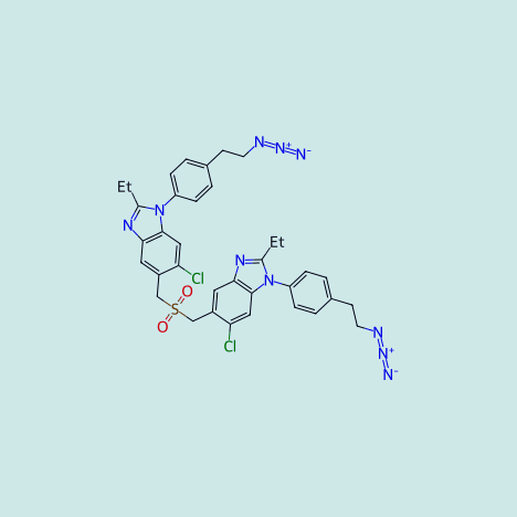 CCc1nc2cc(CS(=O)(=O)Cc3cc4nc(CC)n(-c5ccc(CCN=[N+]=[N-])cc5)c4cc3Cl)c(Cl)cc2n1-c1ccc(CCN=[N+]=[N-])cc1